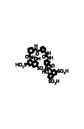 O=C(Nc1cccc(C(=O)Nc2cccc(C(=O)Nc3cc(S(=O)(=O)O)cc4cc(S(=O)(=O)O)cc(O)c34)c2)c1)Nc1cccc(C(=O)Nc2cc(S(=O)(=O)O)cc3cc(S(=O)(=O)O)cc(O)c23)c1